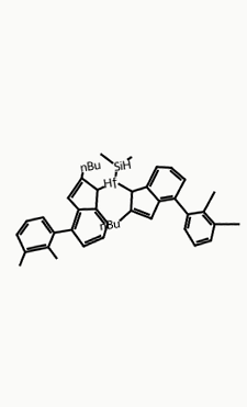 CCCCC1=Cc2c(-c3cccc(C)c3C)cccc2[CH]1[Hf]([CH]1C(CCCC)=Cc2c(-c3cccc(C)c3C)cccc21)[SiH](C)C